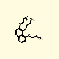 CCCOc1ccc2cccc(OCCC)c2c1OCCC